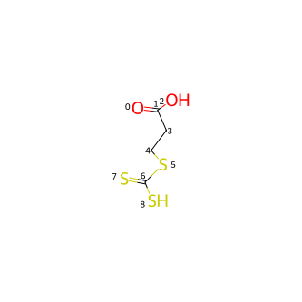 O=C(O)CCSC(=S)S